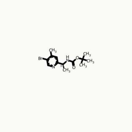 Cc1cc([C@H](C)NC(=O)OC(C)(C)C)ncc1Br